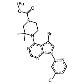 CC(C)(C)OC(=O)N1CCN(c2ncnc3c2c(Br)cn3-c2cc(Cl)ccn2)C(C)(C)C1